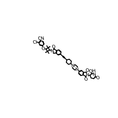 CC1(C)C(Oc2ccc(C#N)c(Cl)c2)C(C)(C)C1N1Cc2cc(C#CC3CCC(N4CCN(c5ccc6c(c5)C(=O)N(C5CCC(=O)NC5=O)C6=O)CC4)CC3)ccc2C1=O